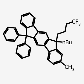 CCCCC1(CCCC(F)(F)F)c2cc(C)ccc2-c2cc3c(cc21)-c1ccccc1C3(c1ccccc1)c1ccccc1